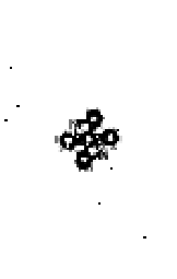 N#Cc1ccccc1-c1c2oc3ccccc3c2c(-c2ccccc2C#N)c2oc3ccccc3c12